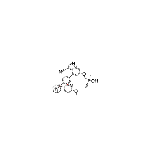 C#C[C@](C)(O)COc1cc(-c2ccc(N3CC4CC(C3)N4Cc3ccc(OC)nc3)nc2)c2c(C#N)cnn2c1